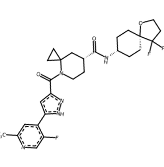 Cc1cc(-c2cc(C(=O)N3CC[C@@H](C(=O)N[C@H]4CC[C@]5(CC4)OCCC5(F)F)CC34CC4)n[nH]2)c(F)cn1